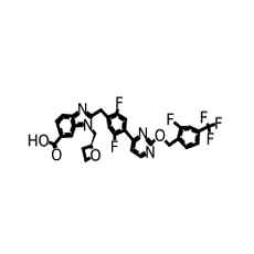 O=C(O)c1ccc2nc(Cc3cc(F)c(-c4ccnc(OCc5ccc(C(F)(F)F)cc5F)n4)cc3F)n(C[C@@H]3CCO3)c2c1